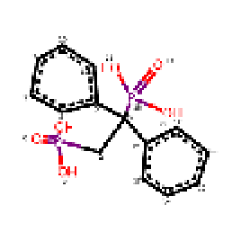 O=P(O)(O)CC(c1ccccc1)(c1ccccc1)P(=O)(O)O